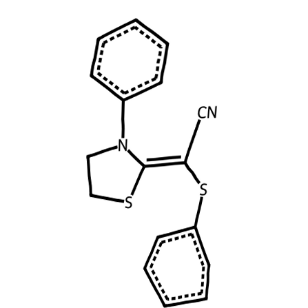 N#CC(Sc1ccccc1)=C1SCCN1c1ccccc1